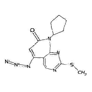 CSc1ncc2c(N=[N+]=[N-])cc(=O)n(C3CCCC3)c2n1